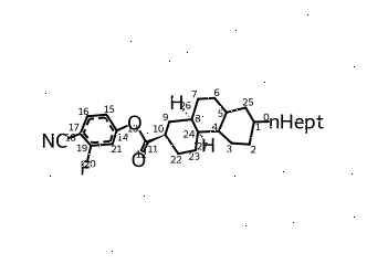 CCCCCCCC1CCC2C(CC[C@@H]3C[C@H](C(=O)Oc4ccc(C#N)c(F)c4)CC[C@H]23)C1